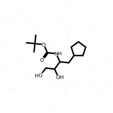 CC(C)(C)OC(=O)NC(CC1CCCC1)C(O)CO